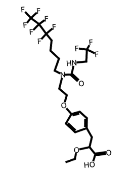 CCOC(Cc1ccc(OCCN(CCCCC(F)(F)C(F)(F)C(F)(F)F)C(=O)NCC(F)(F)F)cc1)C(=O)O